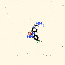 NCCN1CCC(n2c(=O)[nH]c3cc(Cl)ccc32)CC1